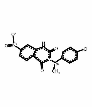 C[C@H](c1ccc(Cl)cc1)n1c(=O)[nH]c2cc([N+](=O)[O-])ccc2c1=O